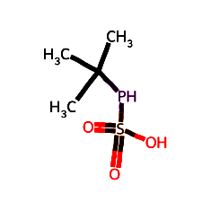 CC(C)(C)PS(=O)(=O)O